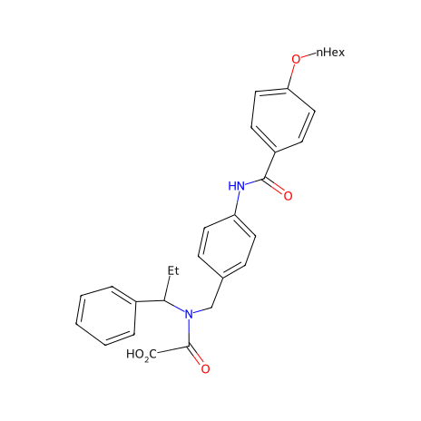 CCCCCCOc1ccc(C(=O)Nc2ccc(CN(C(=O)C(=O)O)C(CC)c3ccccc3)cc2)cc1